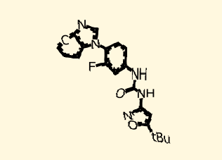 CC(C)(C)c1cc(NC(=O)Nc2ccc(-n3cnc4ccccc43)c(F)c2)no1